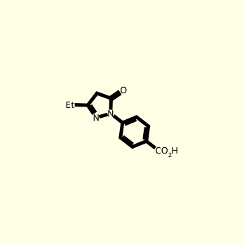 CCC1=NN(c2ccc(C(=O)O)cc2)C(=O)C1